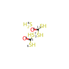 O=C(S)S.O=C(S)S.S